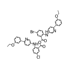 CCOc1cccc(-c2ccc(Nc3ccc(Cl)cc3C(=O)OC(=O)c3cc(Br)ccc3Nc3ccc(-c4cccc(OCC)c4)nc3)cn2)c1